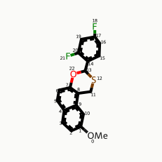 COc1ccc2ccc3c(c2c1)CSC(c1ccc(F)cc1F)O3